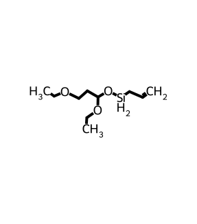 C=CC[SiH2]OC(CCOCC)OCC